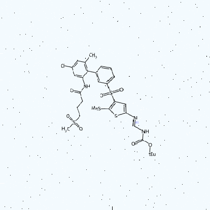 CSc1sc(/N=C/NC(=O)OC(C)(C)C)cc1S(=O)(=O)c1cccc(-c2c(C)cc(Cl)cc2NC(=O)CCCS(C)(=O)=O)c1